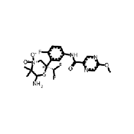 COc1cnc(C(=O)Nc2ccc(F)c([C@]3(C(F)F)C[N+]([O-])([O-])C(C)(C)C(N)S3)c2)cn1